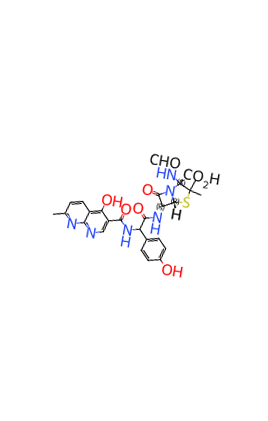 Cc1ccc2c(O)c(C(=O)NC(C(=O)N[C@@H]3C(=O)N4[C@@H]3SC(C)(C)[C@]4(NC=O)C(=O)O)c3ccc(O)cc3)cnc2n1